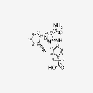 CC(C)(C(=O)O)c1ccc(Nc2nn([C@H]3CCCC[C@@H]3C#N)cc2C(N)=O)cc1